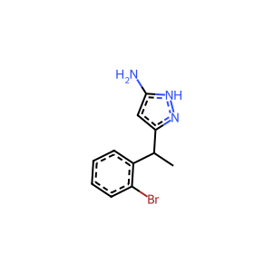 CC(c1cc(N)[nH]n1)c1ccccc1Br